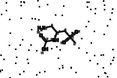 CS(=O)(=O)CC(CN)NC(=O)O